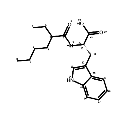 CCCCC(CC)C(=O)N[C@@H](Cc1c[nH]c2ccccc12)C(=O)O